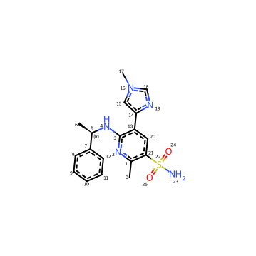 Cc1nc(N[C@H](C)c2ccccc2)c(-c2cn(C)cn2)cc1S(N)(=O)=O